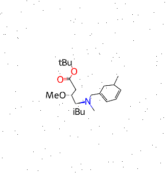 CC[C@H](C)[C@@H]([C@@H](CC(=O)OC(C)(C)C)OC)N(C)CC1=CC=CC(C)C1